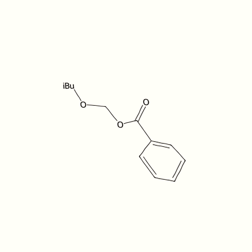 CCC(C)OCOC(=O)c1ccccc1